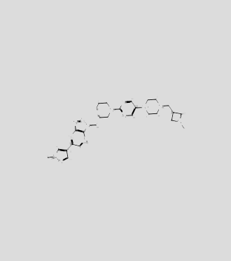 CN1CC(CN2CCN(c3cnc(N4CCO[C@H](Cn5nnc6nc(-c7cnn(C)c7)cnc65)C4)nc3)CC2)C1